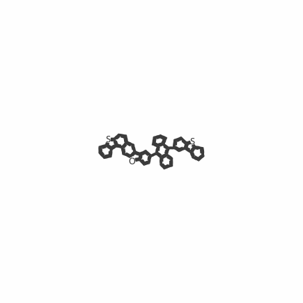 c1ccc2c(c1)sc1ccc(-c3c4ccccc4c(-c4ccc5oc6cc7c(ccc8sc9ccccc9c87)cc6c5c4)c4ccccc34)cc12